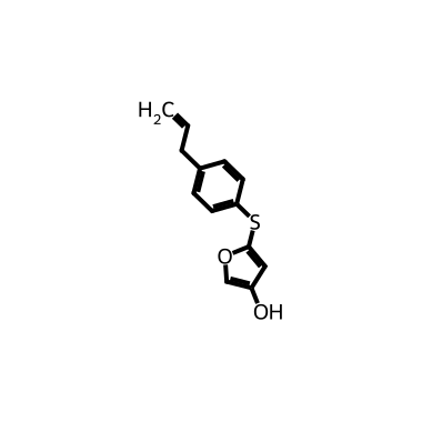 C=CCc1ccc(Sc2cc(O)co2)cc1